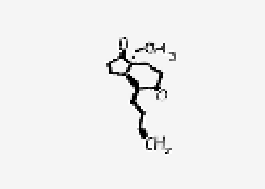 C=CCCC1=C2CCC(=O)[C@@]2(CC)CCC1=O